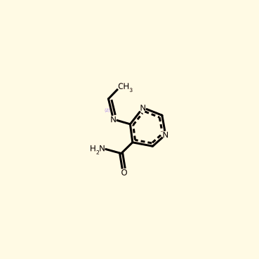 C/C=N\c1ncncc1C(N)=O